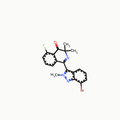 Cn1nc2c(Br)cccc2c1C1=NC(C)(C)C(=O)c2c(F)cccc21